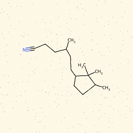 CC(CCC#N)CCC1CCC(C)C1(C)C